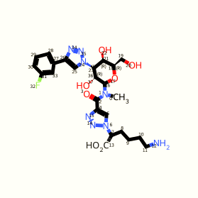 CN(C(=O)c1cn(C(CCCCN)C(=O)O)nn1)C1O[C@H](CO)[C@H](O)[C@H](n2cc(-c3cccc(F)c3)nn2)[C@H]1O